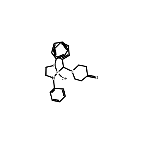 O=C1CCN(C(c2ccccc2)[P]2(O)N(c3ccccc3)CCN2c2ccccc2)CC1